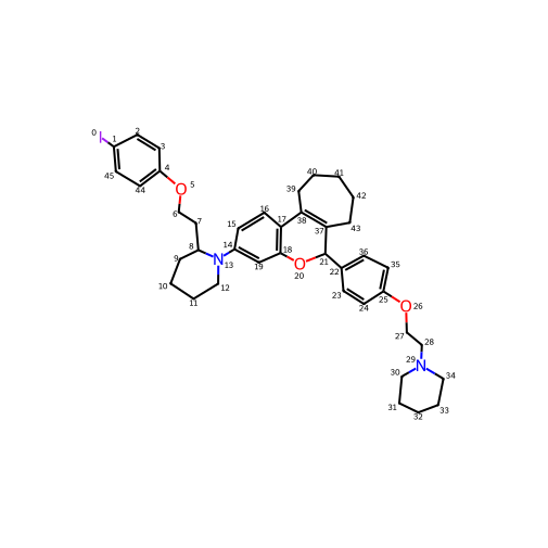 Ic1ccc(OCCC2CCCCN2c2ccc3c(c2)OC(c2ccc(OCCN4CCCCC4)cc2)C2=C3CCCCC2)cc1